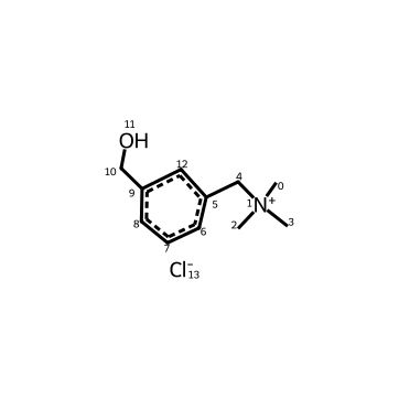 C[N+](C)(C)Cc1cccc(CO)c1.[Cl-]